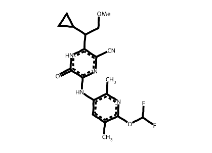 COCC(c1[nH]c(=O)c(Nc2cc(C)c(OC(F)F)nc2C)nc1C#N)C1CC1